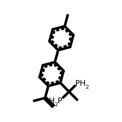 C=C(C)c1ccc(-c2ccc(C)cc2)cc1C(C)(P)P